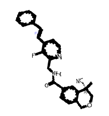 C[C@@]1(C#N)COCc2ccc(C(=O)NCc3nccc(/C=C/c4ccccc4)c3F)cc21